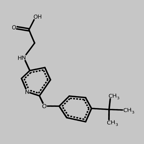 CC(C)(C)c1ccc(Oc2ccc(NCC(=O)O)cn2)cc1